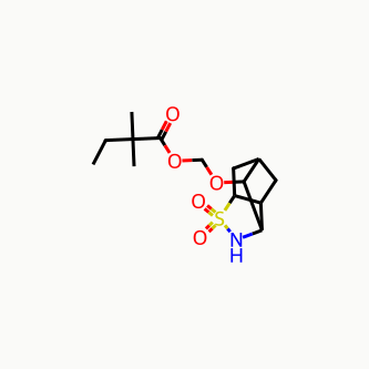 CCC(C)(C)C(=O)OCOC1C2CC3C1NS(=O)(=O)C3C2